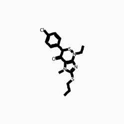 CCCSc1nc2c(n1C)C(=O)C(c1ccc(Cl)cc1)SN2CC